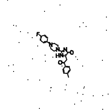 Cc1ccc(C(=O)CC2NC(N3CCN(c4ccc(F)cc4)CC3)=NC2=O)cc1